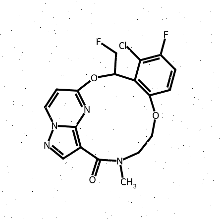 CN1CCOc2ccc(F)c(Cl)c2C(CF)Oc2ccn3ncc(c3n2)C1=O